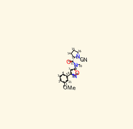 COc1cccc(-c2cc(N(C)C(=O)[C@@H]3CCCN3C#N)on2)c1